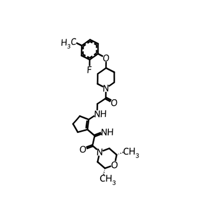 Cc1ccc(OC2CCN(C(=O)CNC3=C(C(=N)C(=O)N4C[C@@H](C)O[C@@H](C)C4)CCC3)CC2)c(F)c1